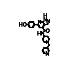 O=C(NC1CCN(Cc2cccnc2)CC1)c1cc(-c2ccc(O)cc2)nc2[nH]ncc12